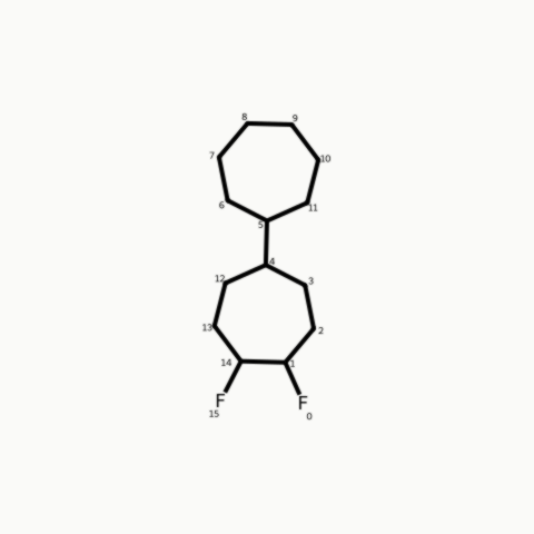 FC1CCC(C2CCCCCC2)CCC1F